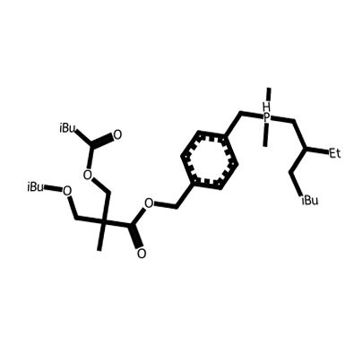 CCC(C)CC(CC)C[PH](C)(C)Cc1ccc(COC(=O)C(C)(COC(=O)C(C)CC)COC(C)CC)cc1